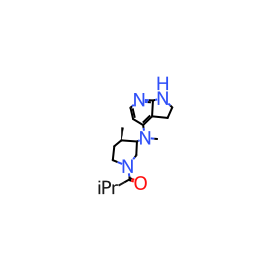 CC(C)C(=O)N1CC[C@@H](C)C(N(C)c2ccnc3c2CCN3)C1